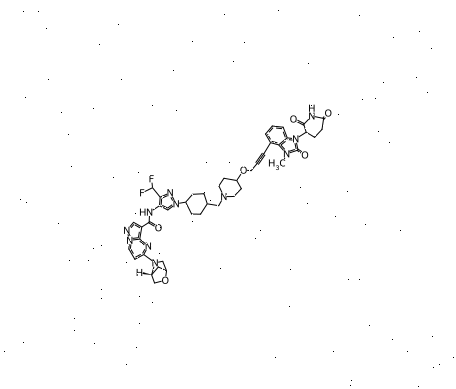 Cn1c(=O)n(C2CCC(=O)NC2=O)c2cccc(C#CCOC3CCN(CC4CCC(n5cc(NC(=O)c6cnn7ccc(N8CC9C[C@@H]8CO9)nc67)c(C(F)F)n5)CC4)CC3)c21